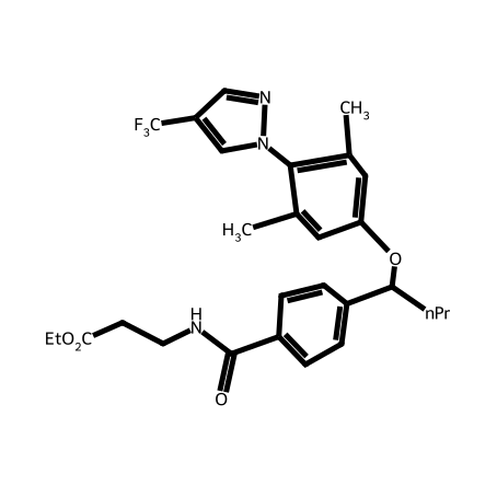 CCCC(Oc1cc(C)c(-n2cc(C(F)(F)F)cn2)c(C)c1)c1ccc(C(=O)NCCC(=O)OCC)cc1